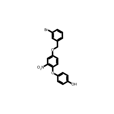 O=[N+]([O-])c1cc(OCc2cccc(Br)c2)ccc1Oc1ccc(O)cc1